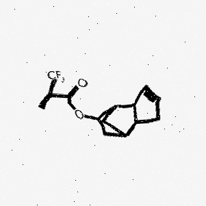 C=C(C(=O)OC1CC2CC1C1C=CCC21)C(F)(F)F